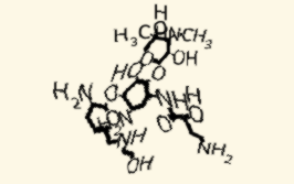 CN[C@H]1[C@H](O)[C@H](O[C@@H]2[C@@H](O)[C@@H](O[C@H]3OC(CNCCO)=CC[C@@H]3N)[C@@H](N)C[C@@H]2NC(=O)C(O)CCN)OC[C@@]1(C)O